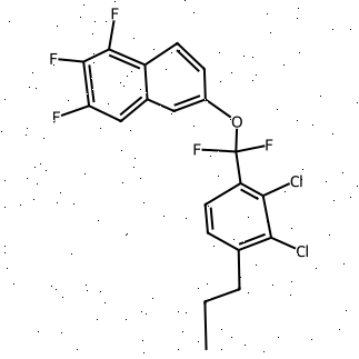 CCCc1ccc(C(F)(F)Oc2ccc3c(F)c(F)c(F)cc3c2)c(Cl)c1Cl